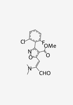 COC(=O)c1c(-c2c(F)cccc2Cl)noc1C=C(C=O)N(C)C